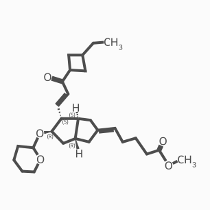 CCC1CC(C(=O)C=C[C@@H]2[C@H]3CC(=CCCCC(=O)OC)C[C@@H]3C[C@H]2OC2CCCCO2)C1